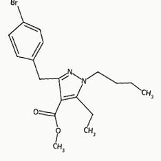 CCCCn1nc(Cc2ccc(Br)cc2)c(C(=O)OC)c1CC